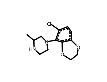 CC1CN(c2c(Cl)ccc3c2OCCO3)CCN1